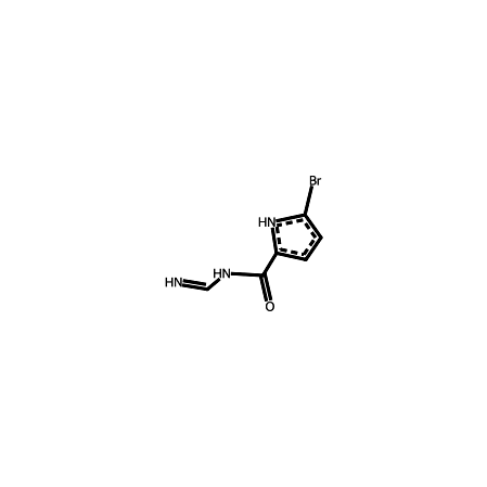 N=CNC(=O)c1ccc(Br)[nH]1